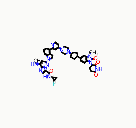 CNc1cc(N2CCc3c(-c4cc(N5CCN(C6CCC(c7ccc8c(c7)n(C)c(=O)n8C7CCC(=O)NC7=O)CC6)CC5)ccn4)cccc32)nn2c(C(=O)N[C@@H]3C[C@@H]3F)cnc12